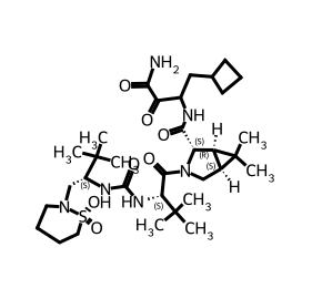 CC(C)(C)[C@H](NC(=O)N[C@H](CN1CCCCS1(=O)=O)C(C)(C)C)C(=O)N1C[C@H]2[C@@H]([C@H]1C(=O)NC(CC1CCC1)C(=O)C(N)=O)C2(C)C